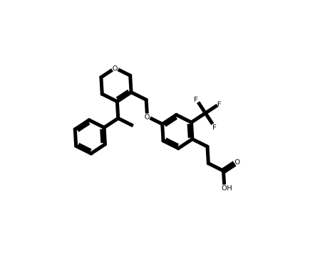 CC(C1=C(COc2ccc(CCC(=O)O)c(C(F)(F)F)c2)COCC1)c1ccccc1